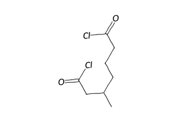 CC(CCCC(=O)Cl)CC(=O)Cl